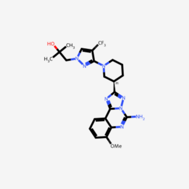 COc1cccc2c1nc(N)n1nc([C@@H]3CCCN(c4nn(CC(C)(C)O)cc4C(F)(F)F)C3)nc21